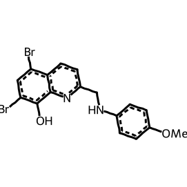 COc1ccc(NCc2ccc3c(Br)cc(Br)c(O)c3n2)cc1